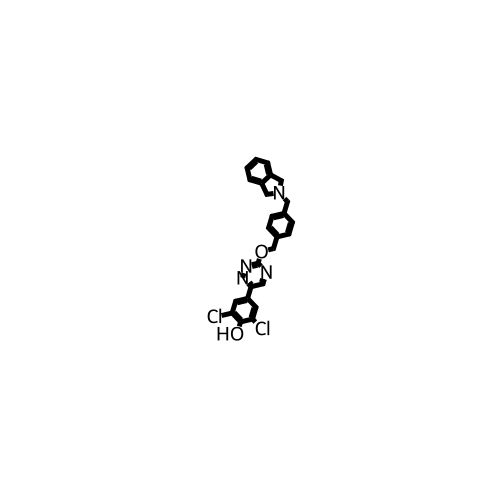 Oc1c(Cl)cc(-c2cnc(OCc3ccc(CN4Cc5ccccc5C4)cc3)nn2)cc1Cl